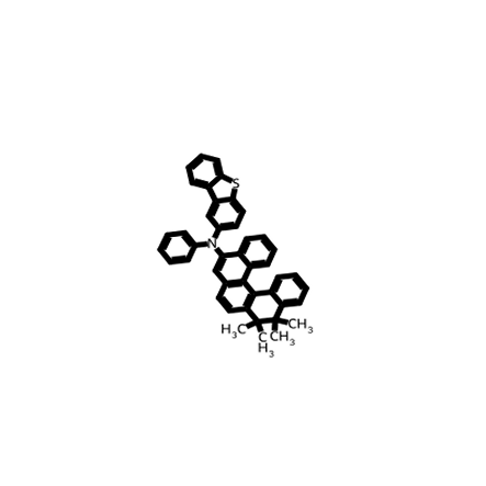 CC1(C)c2ccccc2-c2c(ccc3cc(N(c4ccccc4)c4ccc5sc6ccccc6c5c4)c4ccccc4c23)C1(C)C